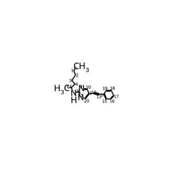 CCCCCC(C)Nc1ncc(C#Cc2ccccc2)cn1